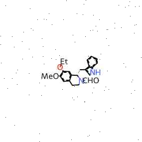 CCOc1cc2c(cc1OC)CCN(C=O)[C@H]2Cc1c[nH]c2ccccc12